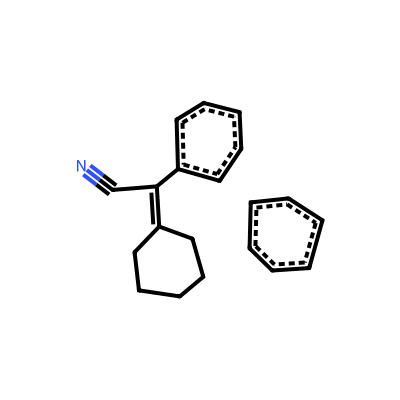 N#CC(=C1CCCCC1)c1ccccc1.c1ccccc1